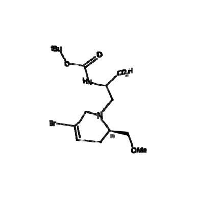 COC[C@H]1CC=C(Br)CN1CC(NC(=O)OC(C)(C)C)C(=O)O